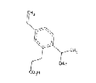 C=Cc1ccc(C(C)OC(C)=O)c(CCC(=O)O)c1